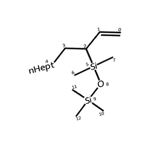 C=CC(CCCCCCCC)[Si](C)(C)O[Si](C)(C)C